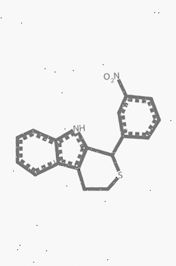 O=[N+]([O-])c1cccc(C2SCCc3c2[nH]c2ccccc32)c1